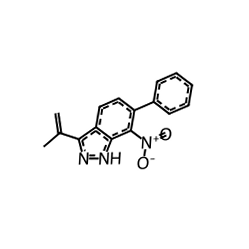 C=C(C)c1n[nH]c2c([N+](=O)[O-])c(-c3ccccc3)ccc12